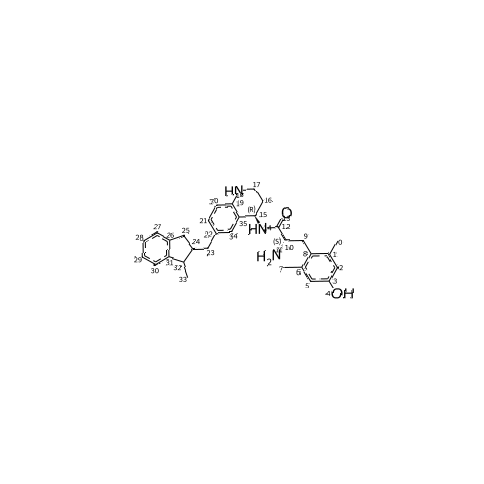 Cc1cc(O)cc(C)c1C[C@H](N)C(=O)N[C@@H]1CCNc2ccc(CC3Cc4ccccc4C3C)cc21